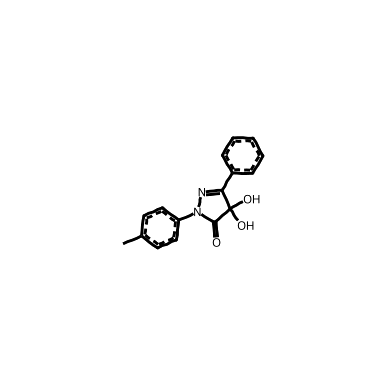 Cc1ccc(N2N=C(c3ccccc3)C(O)(O)C2=O)cc1